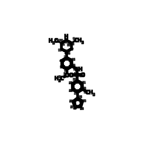 COc1ccc(N2C[C@@H](C)N[C@@H](C)C2)cc1NS(=O)(=O)c1ccc(-c2ccsc2)c(C)c1